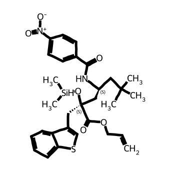 C=CCOC(=O)[C@](Cc1csc2ccccc12)(C[C@H](CC(C)(C)C)NC(=O)c1ccc([N+](=O)[O-])cc1)O[SiH](C)C